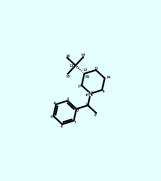 CC(c1ccccc1)N1CCC[C@@H](C(C)(C)C)C1